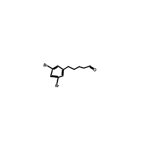 O=[C]CCCCc1cc(Br)cc(Br)c1